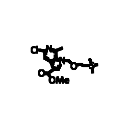 COC(=O)c1cn(COCCS(C)(C)C)c2c(C)nc(Cl)cc12